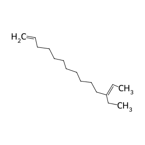 C=CCCCCCCCCCC(=CC)CC